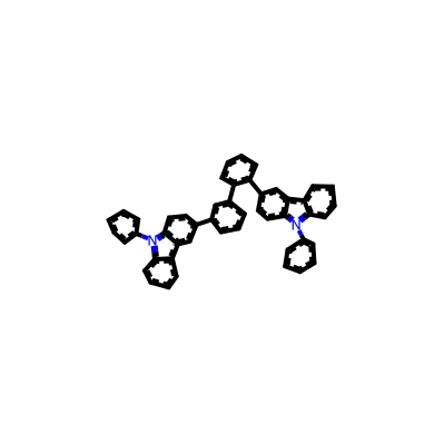 c1ccc(-n2c3ccccc3c3cc(-c4cccc(-c5ccccc5-c5ccc6c(c5)c5ccccc5n6-c5ccccc5)c4)ccc32)cc1